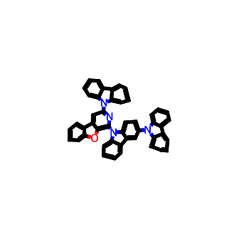 c1ccc2c(c1)oc1c(-n3c4ccccc4c4cc(-n5c6ccccc6c6ccccc65)ccc43)nc(-n3c4ccccc4c4ccccc43)cc12